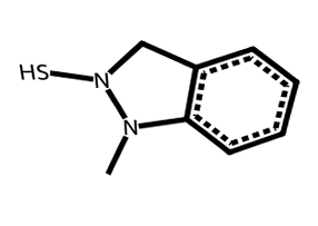 CN1c2ccccc2CN1S